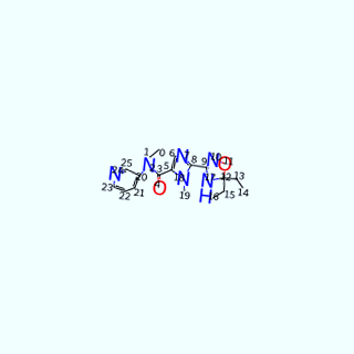 CCN(C(=O)c1cnc(C2=NOC(CC)(CC)N2)n1C)c1cccnc1